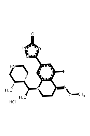 CO/N=C1\CCN([C@@H](C)[C@H]2CCNC[C@H]2C)c2cc(-c3n[nH]c(=O)o3)cc(F)c21.Cl